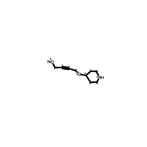 OCC#CCOC1CCNCC1